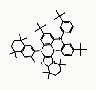 Cc1cc2c(cc1N1C3=C(B4c5ccc(C(C)(C)C)cc5N(c5cccc(C(C)(C)C)c5)c5cc(C(C)(C)C)cc1c54)N1C(O3)C(C)(C)CCC1(C)C)C(C)(C)CCC2(C)C